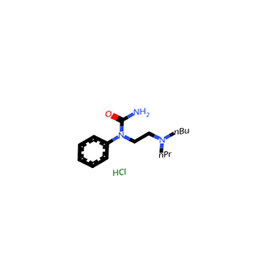 CCCCN(CCC)CCN(C(N)=O)c1ccccc1.Cl